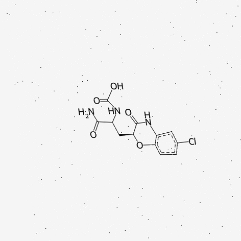 NC(=O)C(C[C@@H]1Oc2ccc(Cl)cc2NC1=O)NC(=O)O